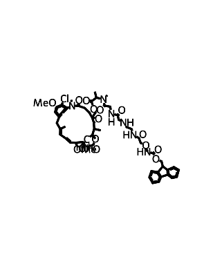 COc1cc2cc(c1Cl)N(C)C(=O)CC(OC(=O)C(C)N(C)C(=O)CNC(=O)CNCCNC(=O)CONC(=O)OCC1c3ccccc3-c3ccccc31)C1(C)OC1C(C)C1CC(O)(NC(=O)O1)C(OC)/C=C/C=C(\C)C2